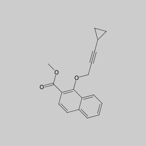 COC(=O)c1ccc2ccccc2c1OCC#CC1CC1